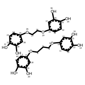 Oc1ccc(OCCCOc2ccc(O)c(O)c2)cc1O.Oc1ccc(OCCOc2ccc(O)c(O)c2)cc1O